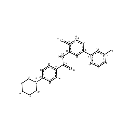 Cc1ccnc(-c2c[nH]c(=O)c(NC(=O)c3ccc(N4CCCCC4)cc3)c2)c1